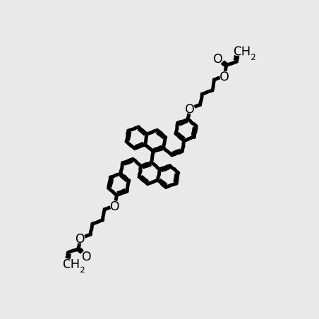 C=CC(=O)OCCCCOc1ccc(/C=C\c2ccc3ccccc3c2-c2c(/C=C\c3ccc(OCCCCOC(=O)C=C)cc3)ccc3ccccc23)cc1